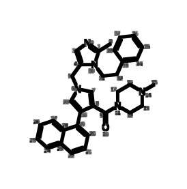 Cc1ncc(Cn2cc(C(=O)N3CCN(C)CC3)c(-c3cccc4ccccc34)c2)n1CCc1ccccc1